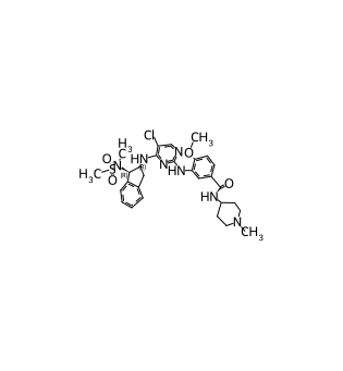 COc1ccc(C(=O)NC2CCN(C)CC2)cc1Nc1ncc(Cl)c(N[C@@H]2Cc3ccccc3[C@H]2N(C)S(C)(=O)=O)n1